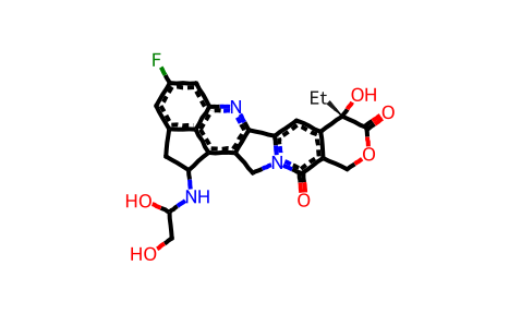 CC[C@@]1(O)C(=O)OCc2c1cc1n(c2=O)Cc2c-1nc1cc(F)cc3c1c2C(NC(O)CO)C3